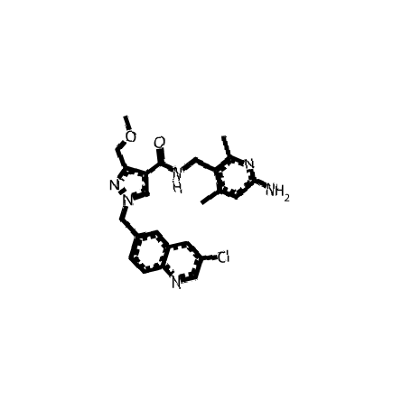 COCc1nn(Cc2ccc3ncc(Cl)cc3c2)cc1C(=O)NCc1c(C)cc(N)nc1C